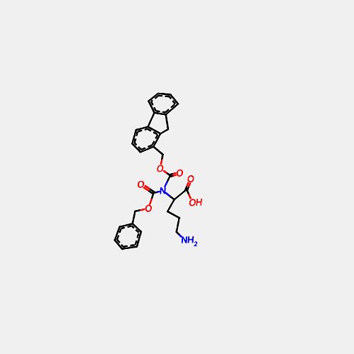 NCCCC(C(=O)O)N(C(=O)OCc1ccccc1)C(=O)OCc1cccc2c1Cc1ccccc1-2